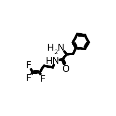 NC(Cc1ccccc1)C(=O)NCCC(F)=C(F)F